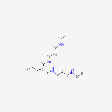 CCCC(CNCCCNCC)CNCCCNCC